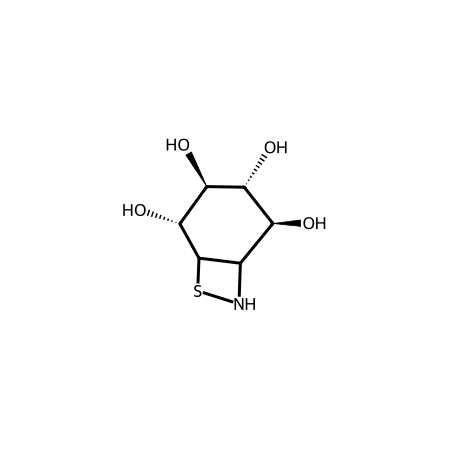 O[C@H]1[C@H](O)[C@@H](O)C2SNC2[C@@H]1O